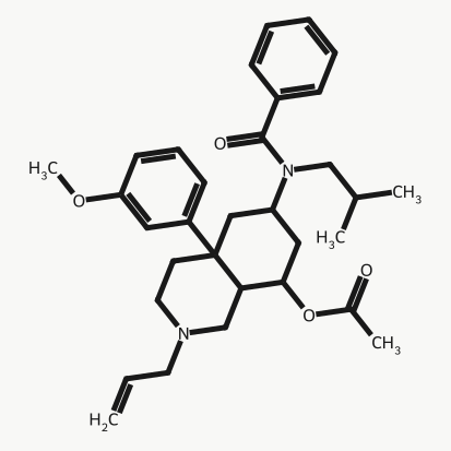 C=CCN1CCC2(c3cccc(OC)c3)CC(N(CC(C)C)C(=O)c3ccccc3)CC(OC(C)=O)C2C1